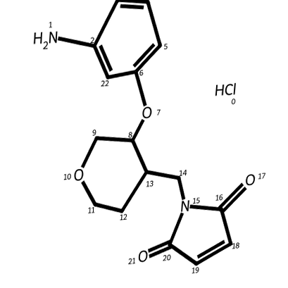 Cl.Nc1cccc(OC2COCCC2CN2C(=O)C=CC2=O)c1